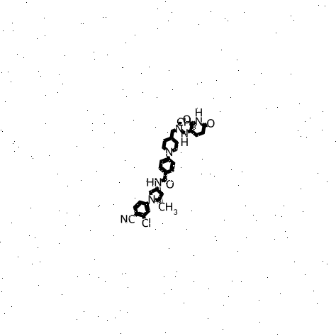 C[C@H]1C[C@@H](NC(=O)c2ccc(N3CCC(CN(C)NC4CCC(=O)NC4=O)CC3)cc2)CN1c1ccc(C#N)c(Cl)c1